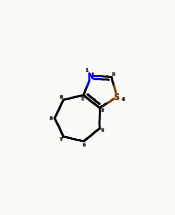 c1nc2c(s1)CCCCC2